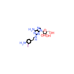 Nc1ccc(CCNc2nc(N)c3ncn([C@@H]4O[C@H](CO)C(O)C4O)c3n2)cc1I